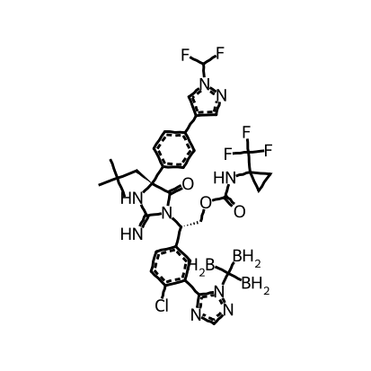 BC(B)(B)n1ncnc1-c1cc([C@@H](COC(=O)NC2(C(F)(F)F)CC2)N2C(=N)N[C@](CC(C)(C)C)(c3ccc(-c4cnn(C(F)F)c4)cc3)C2=O)ccc1Cl